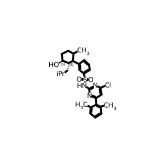 Cc1cccc(C)c1-c1cc(Cl)nc(NS(=O)(=O)c2cccc(C3C(C)CC[C@H](O)[C@H]3CC(C)C)c2)n1